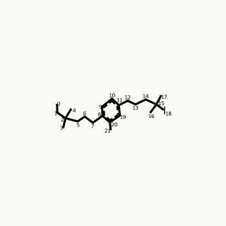 CCC(C)(C)CCCc1ccc(CCCC(C)(C)I)cc1C